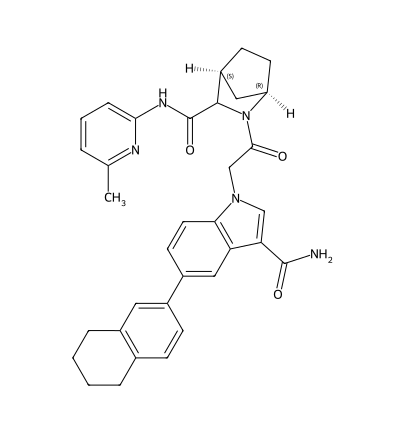 Cc1cccc(NC(=O)C2[C@H]3CC[C@H](C3)N2C(=O)Cn2cc(C(N)=O)c3cc(-c4ccc5c(c4)CCCC5)ccc32)n1